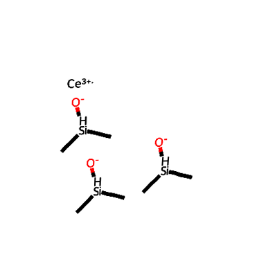 C[SiH](C)[O-].C[SiH](C)[O-].C[SiH](C)[O-].[Ce+3]